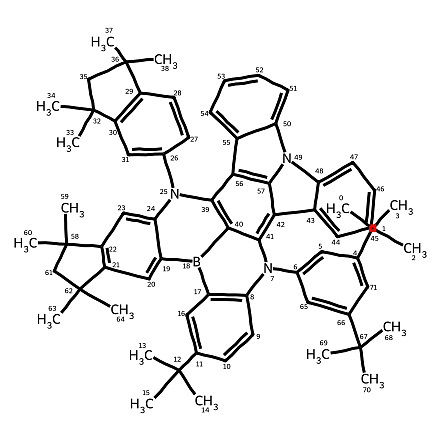 CC(C)(C)c1cc(N2c3ccc(C(C)(C)C)cc3B3c4cc5c(cc4N(c4ccc6c(c4)C(C)(C)CC6(C)C)c4c3c2c2c3ccccc3n3c6ccccc6c4c23)C(C)(C)CC5(C)C)cc(C(C)(C)C)c1